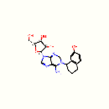 NC1=c2ncn([C@@H]3O[C@H](CO)[C@@H](O)[C@H]3O)c2=NCN1C1CCCc2ccc(O)cc21